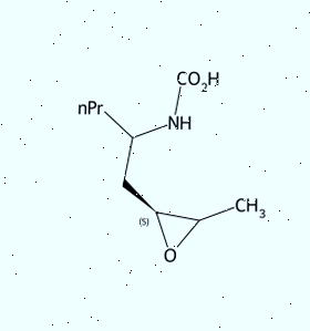 CCCC(C[C@@H]1OC1C)NC(=O)O